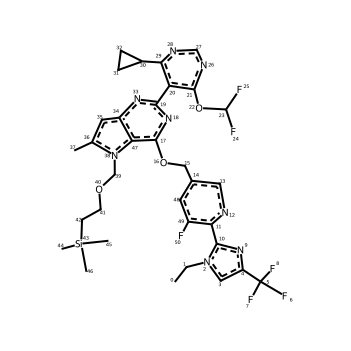 CCn1cc(C(F)(F)F)nc1-c1ncc(COc2nc(-c3c(OC(F)F)ncnc3C3CC3)nc3cc(C)n(COCC[Si](C)(C)C)c23)cc1F